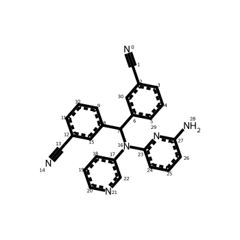 N#Cc1cccc(C(c2cccc(C#N)c2)N(c2cccnc2)c2cccc(N)n2)c1